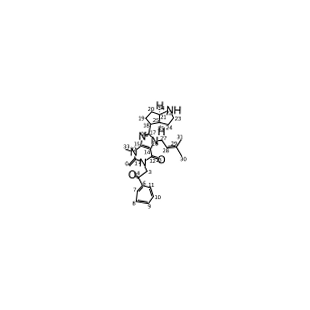 C=C1N(CC(=O)c2ccccc2)C(=O)c2c(nc(C3CC[C@H]4NCC[C@@H]34)n2CC=C(C)C)N1C